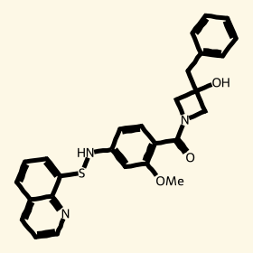 COc1cc(NSc2cccc3cccnc23)ccc1C(=O)N1CC(O)(Cc2ccccc2)C1